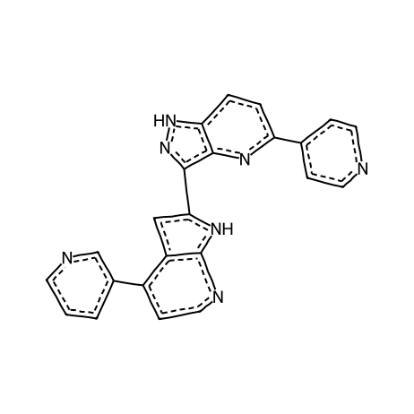 c1cncc(-c2ccnc3[nH]c(-c4n[nH]c5ccc(-c6ccncc6)nc45)cc23)c1